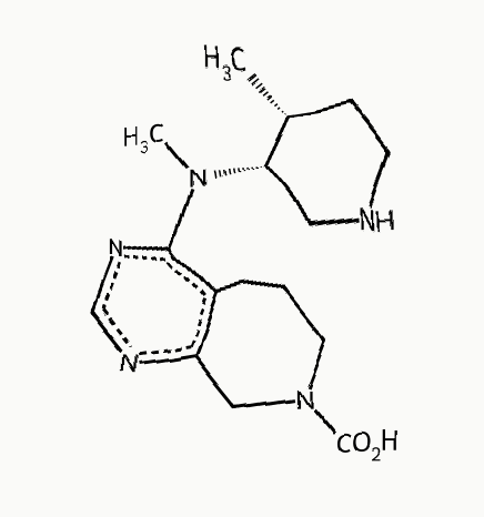 C[C@@H]1CCNC[C@@H]1N(C)c1ncnc2c1CCN(C(=O)O)C2